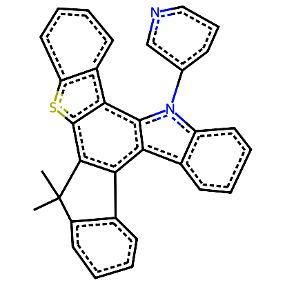 CC1(C)c2ccccc2-c2c1c1sc3ccccc3c1c1c2c2ccccc2n1-c1cccnc1